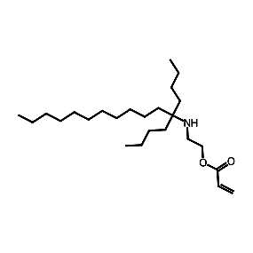 C=CC(=O)OCCNC(CCCC)(CCCC)CCCCCCCCCCC